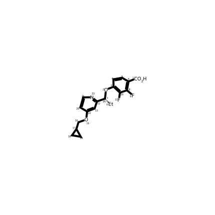 CC[C@@H](Oc1ccc(C(=O)O)c(F)c1F)c1cc(OCC2CC2)ccn1